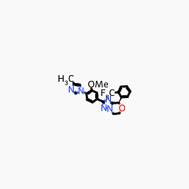 COc1cc(-c2nc3n(n2)CCO[C@@H]3c2ccccc2C(F)(F)F)ccc1-n1cnc(C)c1